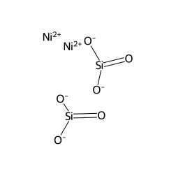 O=[Si]([O-])[O-].O=[Si]([O-])[O-].[Ni+2].[Ni+2]